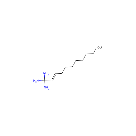 CCCCCCCCCCCCCCCC=CC(N)(N)N